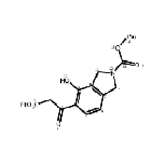 CCOC(=O)CC(=O)c1ccc2c(c1O)CN(C(=O)OC(C)(C)C)C2